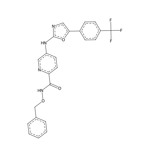 O=C(NOCc1ccccc1)c1ccc(Nc2ncc(-c3ccc(C(F)(F)F)cc3)o2)cn1